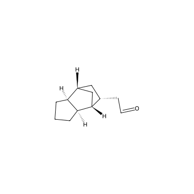 O=CC[C@H]1C[C@@H]2C[C@H]1[C@H]1CCC[C@@H]21